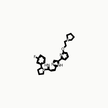 N=C(/C=C\c1ncc(-c2cccc(OCCN3CCCC3)n2)[nH]1)N1CCCC1c1cccc(F)c1